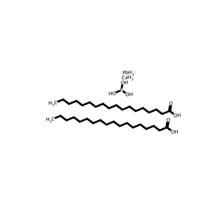 CCCCCCCCCCCCCCCCCC(=O)O.CCCCCCCCCCCCCCCCCC(=O)O.OP(O)O.[CaH2].[PbH2]